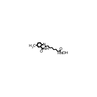 Cc1ccc2nc(CCCCCCC(=O)NO)[nH]c(=O)c2c1